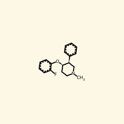 CN1CC[C@@H](Oc2ccccc2F)[C@@H](c2ccccc2)C1